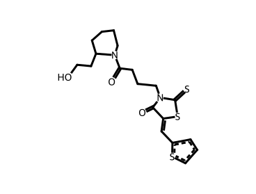 O=C1/C(=C/c2cccs2)SC(=S)N1CCCC(=O)N1CCCCC1CCO